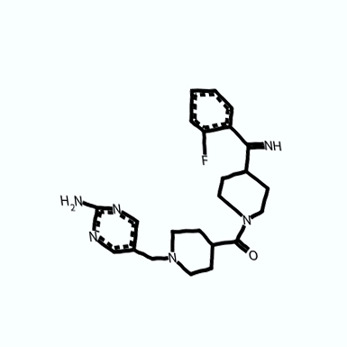 N=C(c1ccccc1F)C1CCN(C(=O)C2CCN(Cc3cnc(N)nc3)CC2)CC1